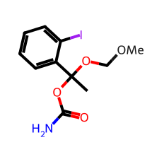 COCOC(C)(OC(N)=O)c1ccccc1I